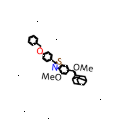 COC(=C1C2CC3CC(C2)CC1C3)c1cc(OC)c2nc(-c3ccc(OCc4ccccc4)cc3)sc2c1